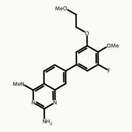 CNc1nc(N)nc2cc(-c3cc(F)c(OC)c(OCCOC)c3)ccc12